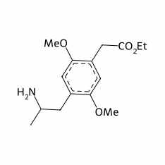 CCOC(=O)Cc1cc(OC)c(CC(C)N)cc1OC